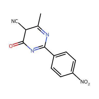 CC1=NC(c2ccc([N+](=O)[O-])cc2)=NC(=O)C1C#N